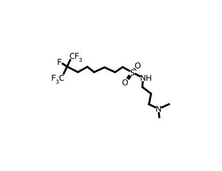 CN(C)CCCNS(=O)(=O)CCCCCCC(F)(C(F)(F)F)C(F)(F)F